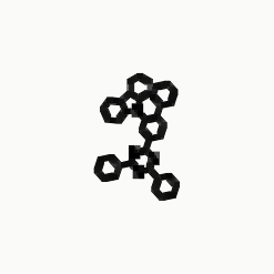 c1ccc(-c2nc(-c3ccccc3)nc(-c3ccc(-c4ccccc4)c(-n4c5ccccc5c5ccccc54)c3)n2)cc1